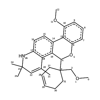 COCC1(C2Oc3cccc(OC)c3-c3ccc4c(c32)C(C)=CC(C)(C)N4)CC=CCC1